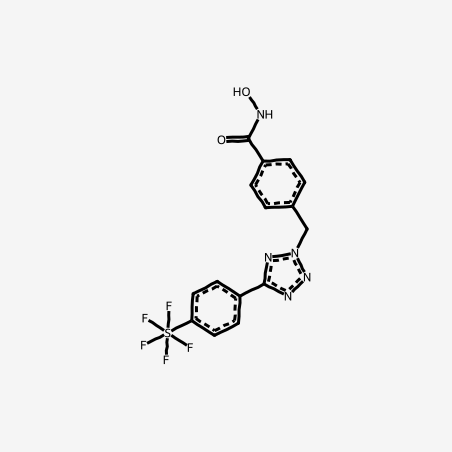 O=C(NO)c1ccc(Cn2nnc(-c3ccc(S(F)(F)(F)(F)F)cc3)n2)cc1